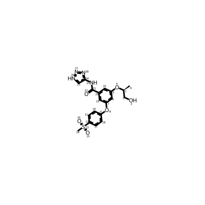 C[C@@H](CO)Oc1cc(Oc2ccc(S(C)(=O)=O)cc2)cc(C(=O)Nc2c[nH]nn2)c1